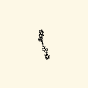 O=C(CCCCCNS(=O)(=O)c1ccc2c(c1)OCCO2)C(=O)OCc1ccccc1